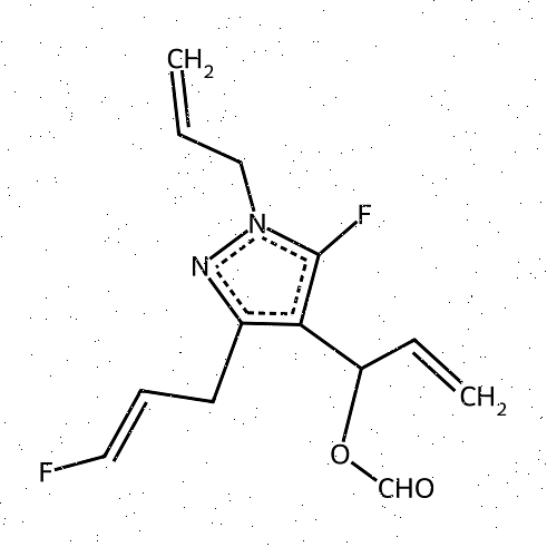 C=CCn1nc(CC=CF)c(C(C=C)OC=O)c1F